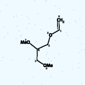 C=COCC(COC)OC